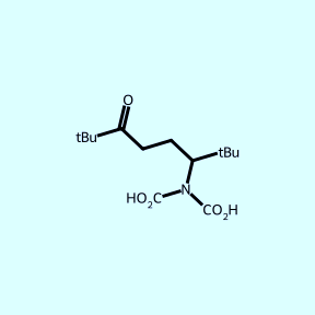 CC(C)(C)C(=O)CCC(N(C(=O)O)C(=O)O)C(C)(C)C